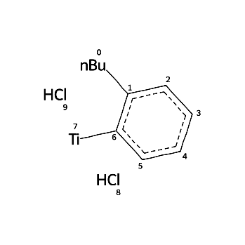 CCCCc1cccc[c]1[Ti].Cl.Cl